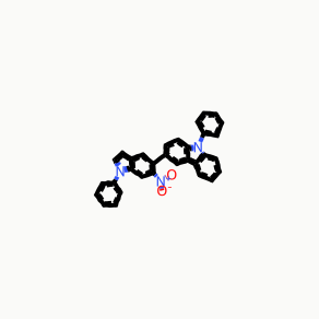 O=[N+]([O-])c1cc2c(ccn2-c2ccccc2)cc1-c1ccc2c(c1)c1ccccc1n2-c1ccccc1